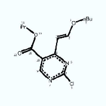 CCCCO/C=C/c1nc(Cl)ncc1C(=O)OC(C)C